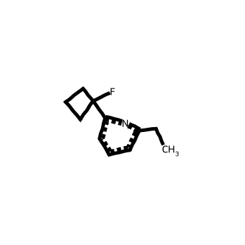 CCc1cccc(C2(F)CCC2)n1